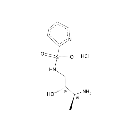 C[C@H](N)[C@H](O)CNS(=O)(=O)c1ccccn1.Cl